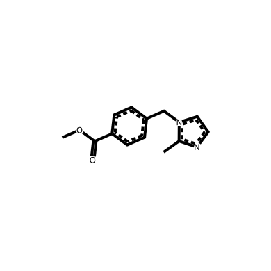 COC(=O)c1ccc(Cn2ccnc2C)cc1